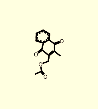 CC(=O)OCC1=C(C)C(=O)c2ccccc2C1=O